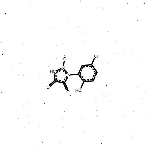 Cc1ccc(O)c(-n2c(=O)c(=O)[nH][s+]2[O-])c1